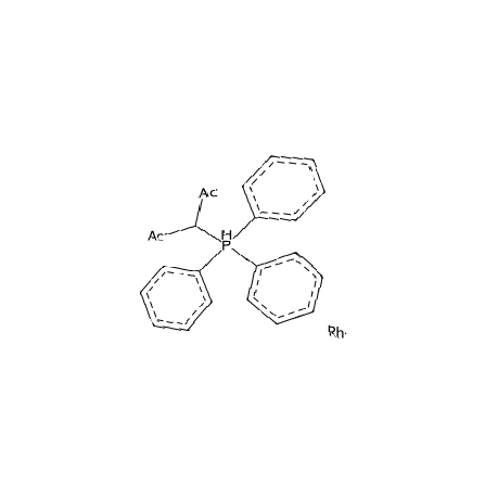 CC(=O)C(C(C)=O)[PH](c1ccccc1)(c1ccccc1)c1ccccc1.[Rh]